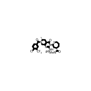 CNC(=O)[C@H]1CCCS[C@H](n2c(NC(C)C)nc3c(c2=O)C[C@@H](C)N(C(=O)c2ccc(Cl)c(C(F)(F)F)c2)C3)C1